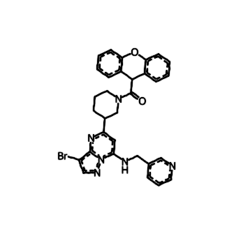 O=C(C1c2ccccc2Oc2ccccc21)N1CCCC(c2cc(NCc3cccnc3)n3ncc(Br)c3n2)C1